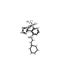 CS(=O)(=O)c1nccc(NCCC2CCCCC2)c1-c1nnn[nH]1